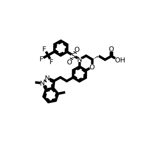 Cc1cccc2c1c(CCc1ccc3c(c1)N(S(=O)(=O)c1cccc(C(F)(F)F)c1)C[C@H](CCC(=O)O)O3)nn2C